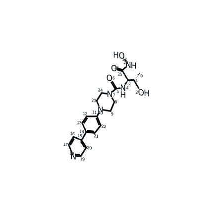 C[C@H](O)[C@@H](NC(=O)N1CCN(c2ccc(-c3ccncc3)cc2)CC1)C(=O)NO